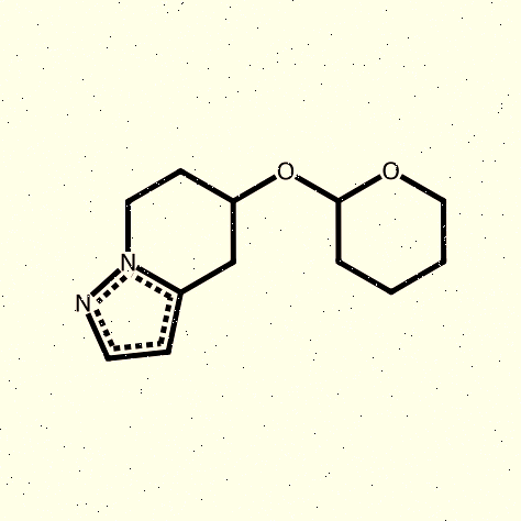 c1cc2n(n1)CCC(OC1CCCCO1)C2